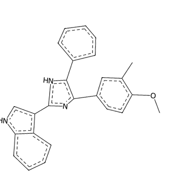 COc1ccc(-c2nc(-c3c[nH]c4ccccc34)[nH]c2-c2ccccc2)cc1C